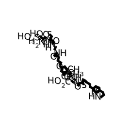 Cc1cc(OCCCC(=O)NCCNC(=O)C(CS(=O)(=O)O)NC(=O)[C@@H](N)CS(=O)(=O)O)cc(C)c1S(=O)(=O)NC(CNC(=O)c1ccc(CCc2ccc3c(n2)NCCC3)s1)C(=O)O